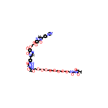 COc1cc2c(cc1OCCCOc1cc3c(cc1OC)C(=O)N1C=C(c4ccc(N5CCN(C)CC5)cc4)C[C@H]1C=N3)N=C[C@@H]1CC(c3ccc(NC(=O)[C@H](C)NC(=O)[C@@H](NC(=O)CCOCCOCCOCCOCCOCCOCCOCCOCCNC(=O)CCN4C(=O)CC(C(C)C)C4=O)C(C)C)cc3)=CN1C2=O